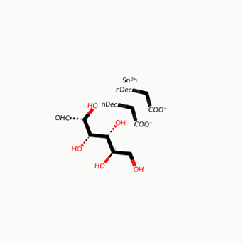 CCCCCCCCCCCC(=O)[O-].CCCCCCCCCCCC(=O)[O-].O=C[C@H](O)[C@@H](O)[C@H](O)[C@H](O)CO.[Sn+2]